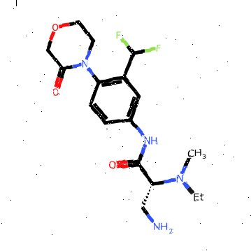 CCN(C)[C@H](CN)C(=O)Nc1ccc(N2CCOCC2=O)c(C(F)F)c1